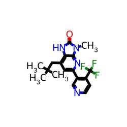 Cn1c(=O)[nH]c2c(CC(C)(C)C)cc(-c3cnccc3C(F)(F)F)nc21